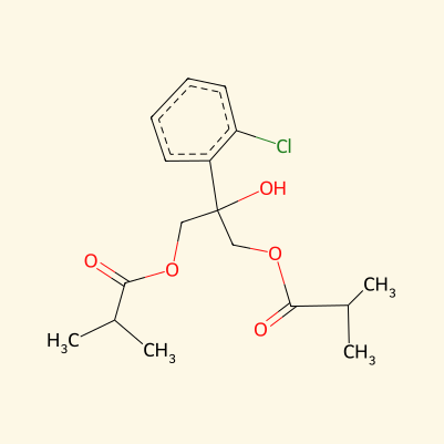 CC(C)C(=O)OCC(O)(COC(=O)C(C)C)c1ccccc1Cl